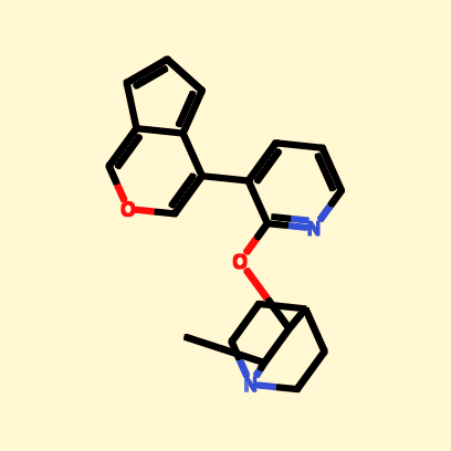 CC1C(Oc2ncccc2-c2cocc3cccc2-3)C2CCN1CC2